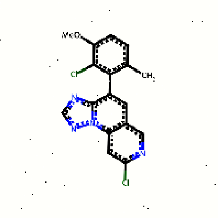 COc1ccc(C)c(-c2cc3cnc(Cl)cc3n3ncnc23)c1Cl